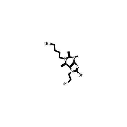 C=C1c2c(nc(Br)n2CCC(C)C)N(C)C(=C)N1CCCCC(C)(C)C